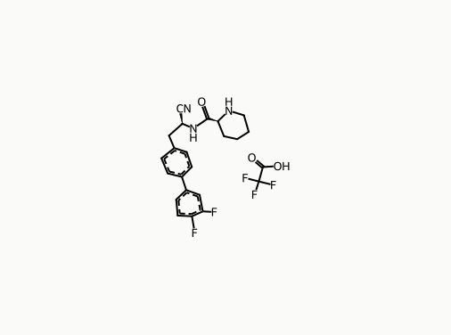 N#C[C@H](Cc1ccc(-c2ccc(F)c(F)c2)cc1)NC(=O)[C@@H]1CCCCN1.O=C(O)C(F)(F)F